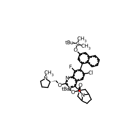 CN1CCC[C@H]1COc1nc(N2CC3CCC(C2)N3C(=O)OC(C)(C)C)c2cc(Cl)c(-c3cc(O[Si](C)(C)C(C)(C)C)cc4ccccc34)c(F)c2n1